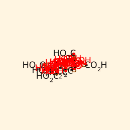 O=C(O)CCSCCC(OC(O)/C(O)=C(\O)C(CCSCCC(=O)O)OC(O)/C(O)=C(/O)C(CCSCCC(=O)O)OC(O)/C(O)=C(\O)C(CCSCCC(=O)O)OC(O)/C(O)=C(\O)C(CCSCCC(=O)O)OC1OC(CSCCC(=O)O)C(O)C(O)C1O)/C(O)=C(/O)C(O)OC(CCSCCC(=O)O)C(O)C(O)C(O)OC(CCSCCC(=O)O)/C(O)=C1/OC1O